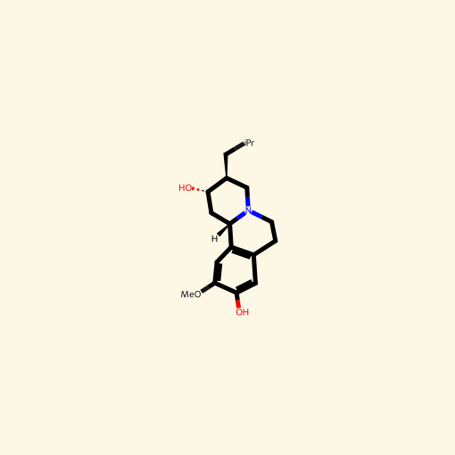 COc1cc2c(cc1O)CCN1C[C@H](CC(C)C)[C@@H](O)C[C@@H]21